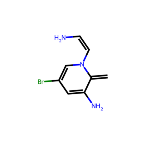 C=C1C(N)=CC(Br)=CN1/C=C\N